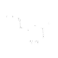 C=C(CCC(CC)CNC)NCCCC